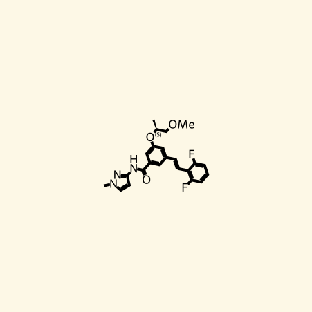 COC[C@H](C)Oc1cc(C=Cc2c(F)cccc2F)cc(C(=O)Nc2ccn(C)n2)c1